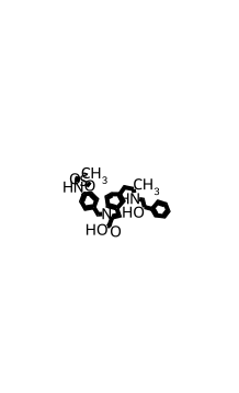 CC(Cc1ccc2c(c1)cc(C(=O)O)n2Cc1ccc(NS(C)(=O)=O)cc1)NCC(O)c1ccccc1